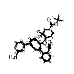 CC(C)(C)OC(=O)N1CCC(Oc2ccc(-c3ccnc(N)n3)cc2-c2ccccc2C#N)C(F)(F)C1